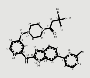 Cc1nccc(-c2ccc3nc(Nc4cc(SN5CCN(C(=O)CC(F)(F)F)CC5)ccn4)[nH]c3c2)n1